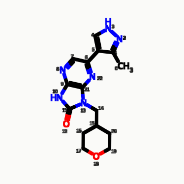 Cc1n[nH]cc1-c1cnc2[nH]c(=O)n(CC3CCOCC3)c2n1